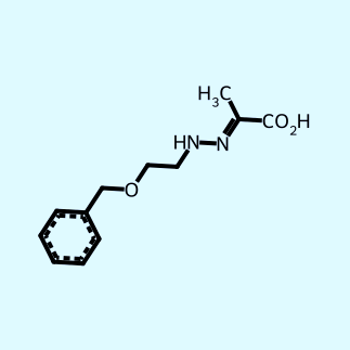 CC(=NNCCOCc1ccccc1)C(=O)O